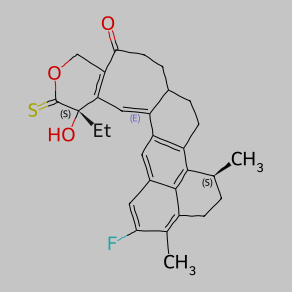 CC[C@@]1(O)C(=S)OCC2=C1/C=C1/c3cc4cc(F)c(C)c5c4c(c3CCC1CCC2=O)[C@@H](C)CC5